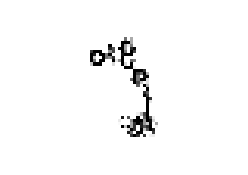 CCC(CC(CC(C)c1cc[n+](CCCCCC(=O)ON2C(=O)CCC2=O)cc1)c1ccncc1)c1ccccc1